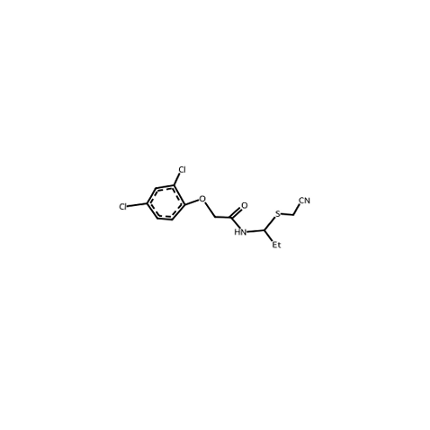 CCC(NC(=O)COc1ccc(Cl)cc1Cl)SCC#N